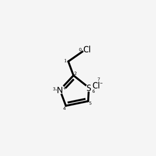 ClCC1=[N+]C=CS1.[Cl-]